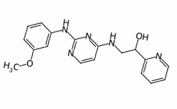 COc1cccc(Nc2nccc(NCC(O)c3ccccn3)n2)c1